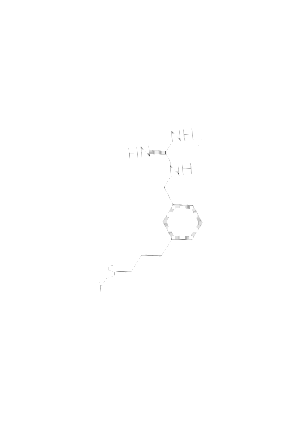 N=C(N)NCc1cccc(CCCSI)c1